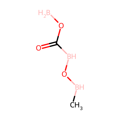 BOC(=O)BOBC